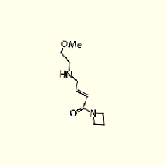 COCCNC/C=C/C(=O)N1CCC1